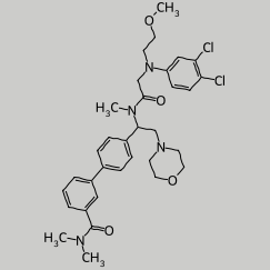 COCCN(CC(=O)N(C)C(CN1CCOCC1)c1ccc(-c2cccc(C(=O)N(C)C)c2)cc1)c1ccc(Cl)c(Cl)c1